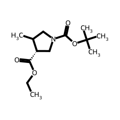 CCOC(=O)[C@H]1CN(C(=O)OC(C)(C)C)CC1C